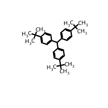 CC(C)(C)c1ccc([C](c2ccc(C(C)(C)C)cc2)c2ccc(C(C)(C)C)cc2)cc1